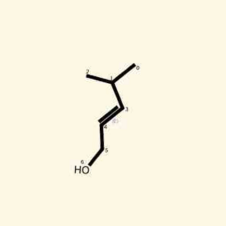 CC(C)/C=C/CO